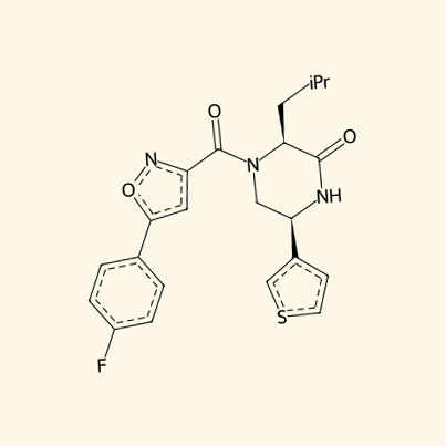 CC(C)C[C@H]1C(=O)N[C@@H](c2ccsc2)CN1C(=O)c1cc(-c2ccc(F)cc2)on1